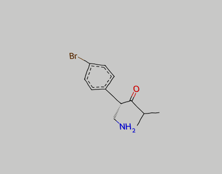 CC(C)C(=O)[C@H](CN)c1ccc(Br)cc1